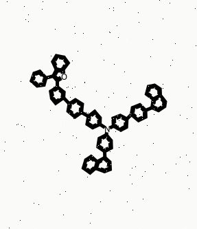 c1ccc(-c2c(-c3cccc(-c4ccc(-c5ccc(N(c6ccc(-c7ccc(-c8cccc9ccccc89)cc7)cc6)c6ccc(-c7cccc8ccccc78)cc6)cc5)cc4)c3)oc3ccccc23)cc1